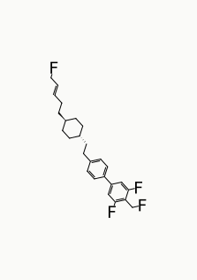 FCC=CCC[C@H]1CC[C@H](CCc2ccc(-c3cc(F)c(CF)c(F)c3)cc2)CC1